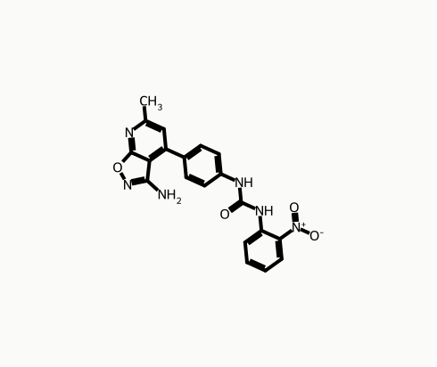 Cc1cc(-c2ccc(NC(=O)Nc3ccccc3[N+](=O)[O-])cc2)c2c(N)noc2n1